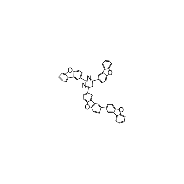 c1ccc2c(c1)oc1ccc(-c3ccc4oc5ccc(-c6cc(-c7ccc8oc9ccccc9c8c7)nc(-c7ccc8oc9ccccc9c8c7)n6)cc5c4c3)cc12